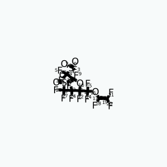 O=S(=O)(F)C(F)(F)C(F)(F)OC(F)(C(F)(F)OC(F)=C(F)F)C(F)(F)C(F)(F)S(=O)(=O)F